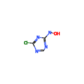 O[N]c1ncnc(Cl)n1